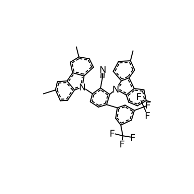 Cc1ccc2c(c1)c1cc(C)ccc1n2-c1ccc(-c2cc(C(F)(F)F)cc(C(F)(F)F)c2)c(-n2c3ccc(C)cc3c3cc(C)ccc32)c1C#N